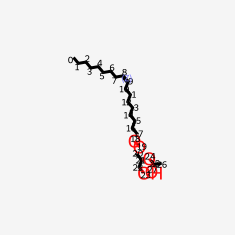 CCCCCCCC/C=C\CCCCCCCCOOCC(CO)OC(C)=O